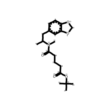 CC(Cc1ccc2c(c1)OCO2)N(C)C(=O)CCCC(=O)OC(C)(C)C